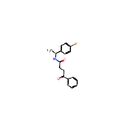 C[C@H](NC(=O)CCC(=O)c1ccccc1)c1ccc(Br)cc1